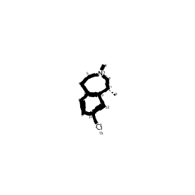 C[C@H]1CN(C)CCc2ccc(Cl)cc21